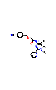 C=N/C(=N\C(NC(=O)COCc1ccc(C#N)cc1)=C(C)C)c1ccccn1